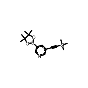 CC1(C)OB(c2cncc(C#C[Si](C)(C)C)c2)OC1(C)C